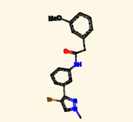 COc1cccc(CC(=O)Nc2cccc(-c3nn(C)cc3Br)c2)c1